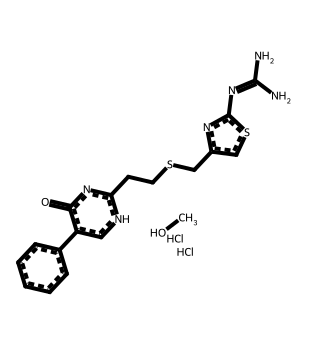 CO.Cl.Cl.NC(N)=Nc1nc(CSCCc2nc(=O)c(-c3ccccc3)c[nH]2)cs1